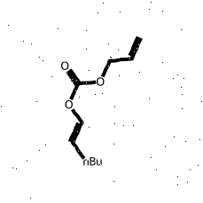 C=CCOC(=O)OC=CCCCC